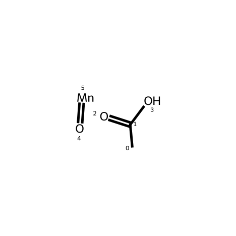 CC(=O)O.[O]=[Mn]